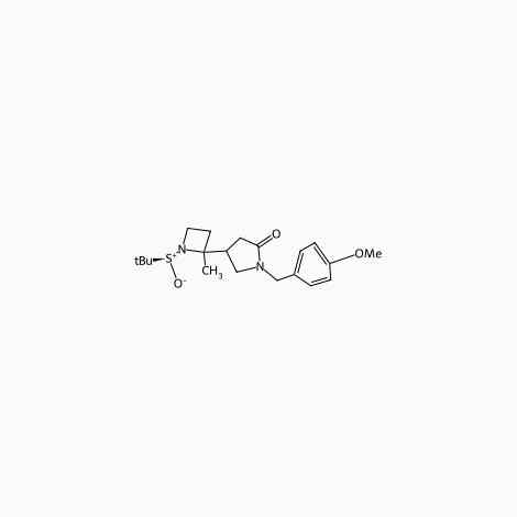 COc1ccc(CN2CC(C3(C)CCN3[S@@+]([O-])C(C)(C)C)CC2=O)cc1